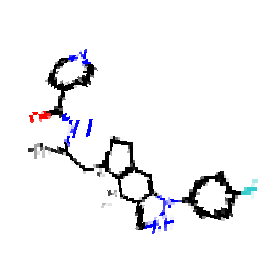 CCCC(C[C@H]1CCC2=C1[C@@H](C)C1=CNN(c3ccc(F)cc3)C1=C2)NC(=O)c1ccncc1